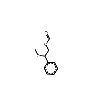 COC(CO[C]=O)c1ccccc1